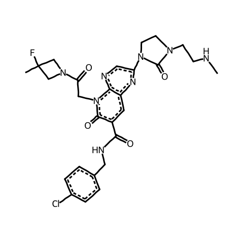 CNCCN1CCN(c2cnc3c(cc(C(=O)NCc4ccc(Cl)cc4)c(=O)n3CC(=O)N3CC(C)(F)C3)n2)C1=O